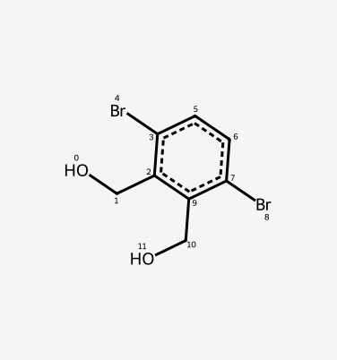 OCc1c(Br)ccc(Br)c1CO